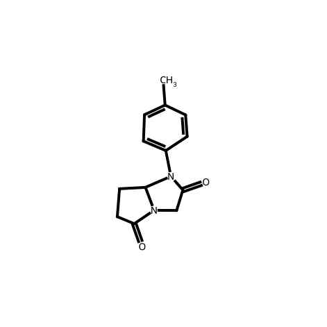 Cc1ccc(N2C(=O)CN3C(=O)CCC32)cc1